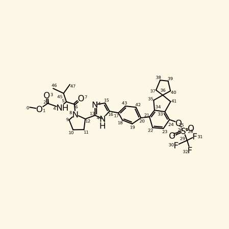 COC(=O)NC(C(=O)N1CCCC1c1ncc(-c2ccc(-c3ccc(OS(=O)(=O)C(F)(F)F)c4c3CC3(CCCC3)C4)cc2)[nH]1)C(C)C